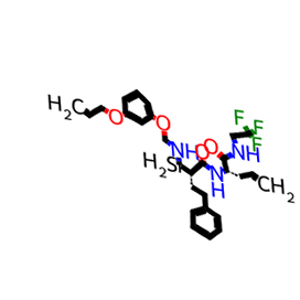 C=CCOc1cccc(OCN[SiH2][C@@H](CCc2ccccc2)C(=O)N[C@@H](CC=C)C(=O)NCC(F)(F)F)c1